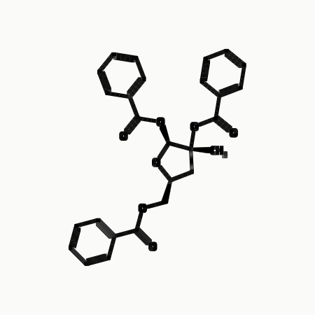 C[C@@]1(OC(=O)c2ccccc2)C[C@@H](COC(=O)c2ccccc2)O[C@H]1OC(=O)c1ccccc1